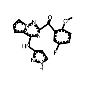 COc1ccc(F)cc1C(=O)c1nc(Nc2cc[nH]n2)c2cccn2n1